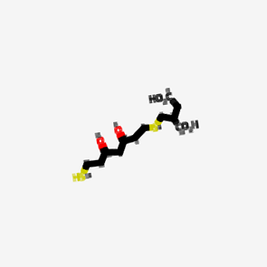 O=C(O)CC(CSCCC(=O)CC(=O)CCS)C(=O)O